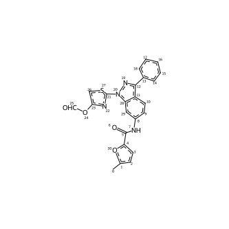 Cc1ccc(C(=O)Nc2ccc3c(-c4ccccc4)nn(-c4nc(OC=O)cs4)c3c2)o1